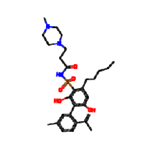 C=C(C)c1ccc(C)cc1-c1c(O)cc(CCCCC)c(S(=O)(=O)NC(=O)CCN2CCN(C)CC2)c1O